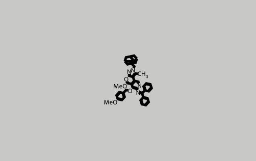 COC(=O)c1c(-c2cnn(CC34CC5CC(CC(C5)C3)C4)c2C)cnc(N=C(c2ccccc2)c2ccccc2)c1OCc1ccc(OC)cc1